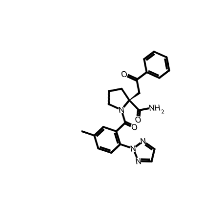 Cc1ccc(-n2nccn2)c(C(=O)N2CCC[C@]2(CC(=O)c2ccccc2)C(N)=O)c1